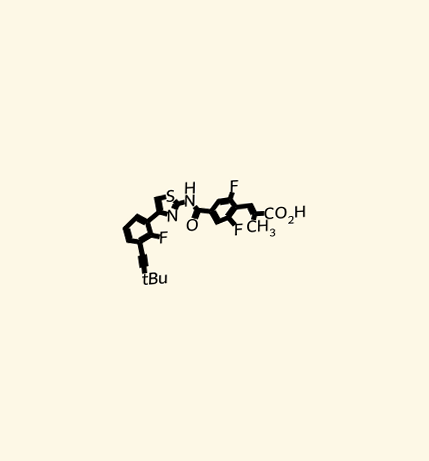 CC(=Cc1c(F)cc(C(=O)Nc2nc(-c3cccc(C#CC(C)(C)C)c3F)cs2)cc1F)C(=O)O